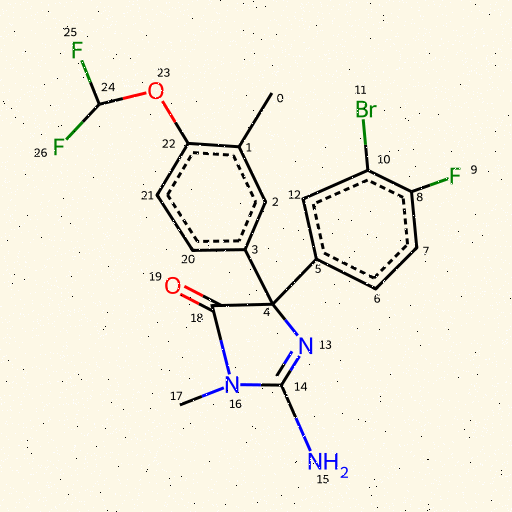 Cc1cc(C2(c3ccc(F)c(Br)c3)N=C(N)N(C)C2=O)ccc1OC(F)F